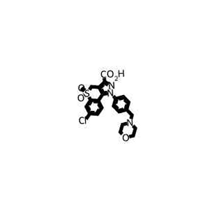 O=C(O)c1nn(-c2ccc(CN3CCOCC3)cc2)c2c1CS(=O)(=O)c1cc(Cl)ccc1-2